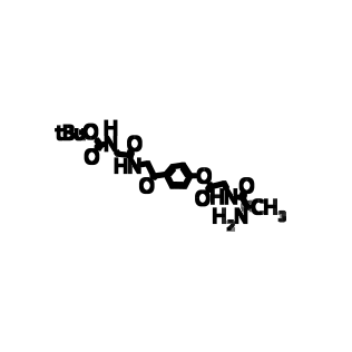 C[C@H](N)C(=O)NCC(=O)Oc1ccc(C(=O)CNC(=O)CNC(=O)OC(C)(C)C)cc1